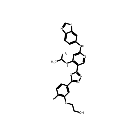 CC(C)Nc1cc(Nc2ccc3ncsc3c2)ncc1-c1nnc(-c2ccc(F)c(OCCO)c2)o1